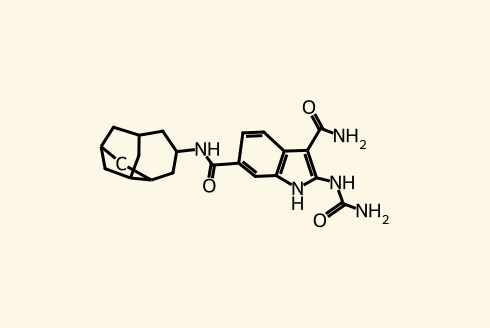 NC(=O)Nc1[nH]c2cc(C(=O)NC3CC4CC5CC(C4)C(C5)C3)ccc2c1C(N)=O